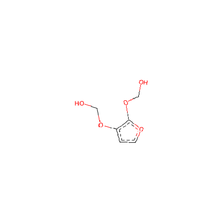 OCOc1ccoc1OCO